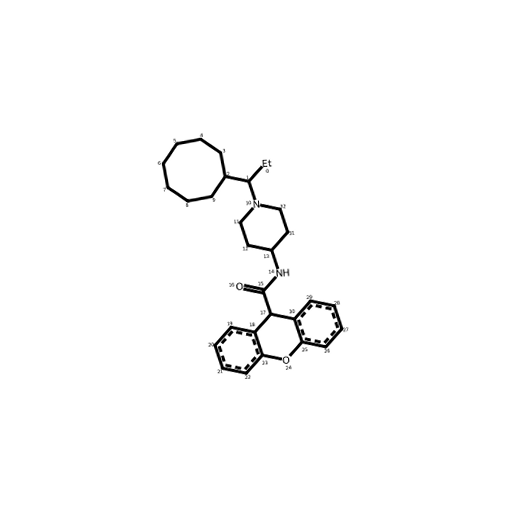 CCC(C1CCCCCCC1)N1CCC(NC(=O)C2c3ccccc3Oc3ccccc32)CC1